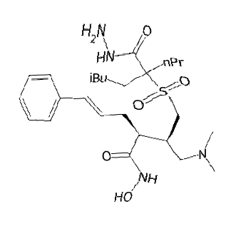 CCCC(CC(C)CC)(C(=O)NN)S(=O)(=O)C[C@@H](CN(C)C)[C@H](C/C=C/c1ccccc1)C(=O)NO